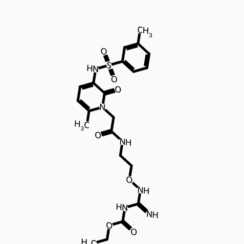 CCOC(=O)NC(=N)NOCCNC(=O)Cn1c(C)ccc(NS(=O)(=O)c2cccc(C)c2)c1=O